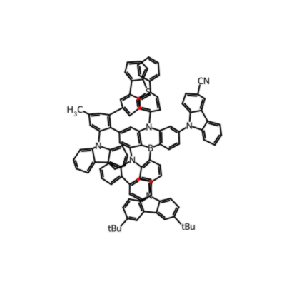 Cc1cc(-c2ccc3sc4ccccc4c3c2)c(-c2cc3c4c(c2)N(c2ccccc2-c2ccccc2)c2cc(-n5c6ccc(C(C)(C)C)cc6c6cc(C(C)(C)C)ccc65)ccc2B4c2ccc(-n4c5ccccc5c5cc(C#N)ccc54)cc2N3c2ccc(-c3ccccc3)cc2)c(-n2c3ccccc3c3ccccc32)c1